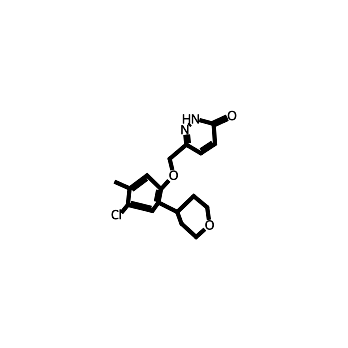 Cc1cc(OCc2ccc(=O)[nH]n2)c(C2CCOCC2)cc1Cl